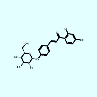 O=C(C=Cc1ccc(O[C@@H]2O[C@H](CO)[C@@H](O)[C@H](O)[C@H]2O)cc1)c1ccc(O)cc1O